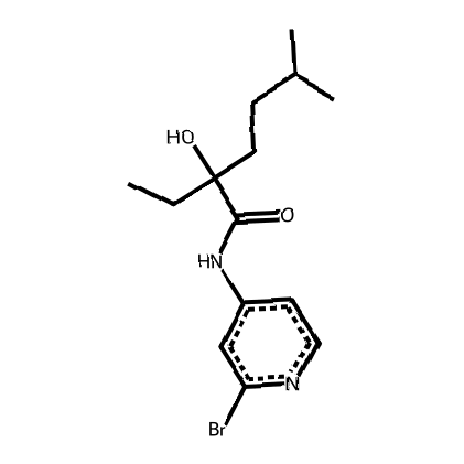 CCC(O)(CCC(C)C)C(=O)Nc1ccnc(Br)c1